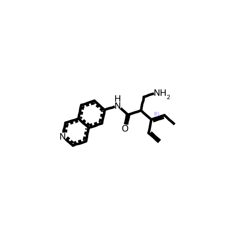 C=C/C(=C\C)C(CN)C(=O)Nc1ccc2cnccc2c1